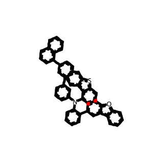 c1cc(-c2cccc(N(c3ccccc3-c3ccc4oc5ccccc5c4c3)c3cccc4sc5ccccc5c34)c2)cc(-c2cccc3ccccc23)c1